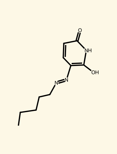 CCCCCN=Nc1ccc(=O)[nH]c1O